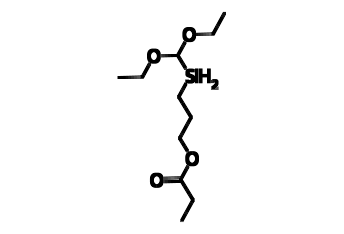 CCOC(OCC)[SiH2]CCCOC(=O)CC